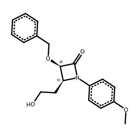 COc1ccc(N2C(=O)[C@H](OCc3ccccc3)[C@@H]2CCO)cc1